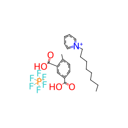 CCCCCCCC[n+]1ccccc1.Cc1ccc(C(=O)O)cc1C(=O)O.F[P-](F)(F)(F)(F)F